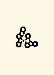 CC12c3ccccc3B(n3c4ccccc4c4ccc5c6ccccc6oc5c43)c3cccc(c31)-c1ccccc12